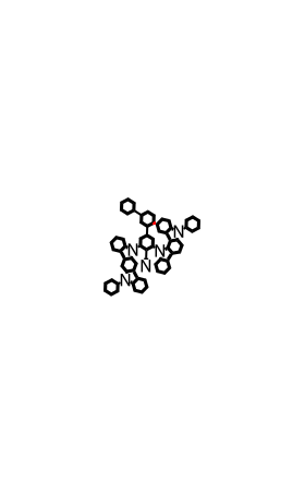 N#Cc1c(-n2c3ccccc3c3cc4c(cc32)c2ccccc2n4-c2ccccc2)cc(-c2cccc(-c3ccccc3)c2)cc1-n1c2ccccc2c2ccc3c(c4ccccc4n3-c3ccccc3)c21